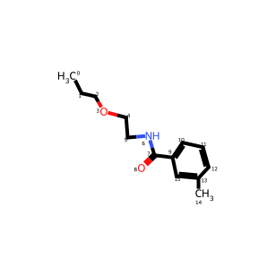 CCCOCCNC(=O)c1cccc(C)c1